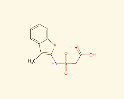 Cc1c(NS(=O)(=O)CC(=O)O)sc2ccccc12